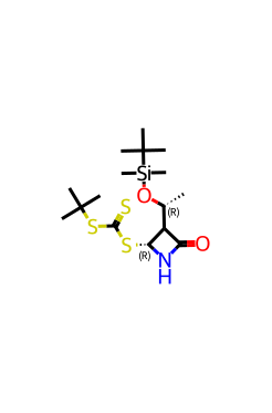 C[C@@H](O[Si](C)(C)C(C)(C)C)C1C(=O)N[C@@H]1SC(=S)SC(C)(C)C